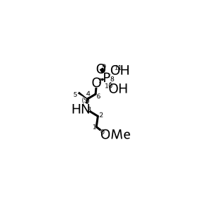 COCCN[C@@H](C)COP(=O)(O)O